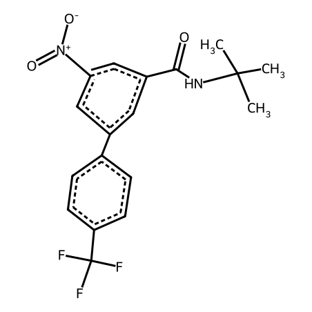 CC(C)(C)NC(=O)c1cc(-c2ccc(C(F)(F)F)cc2)cc([N+](=O)[O-])c1